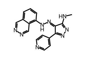 CNC1=NN=C(c2ccncc2)/C1=N\Nc1cccc2cnncc12